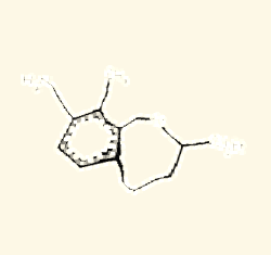 CCOC(=O)C1CCc2ccc(N)c(C)c2O1